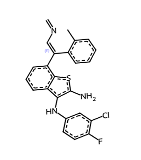 C=N/C=C(\c1ccccc1C)c1cccc2c(Nc3ccc(F)c(Cl)c3)c(N)sc12